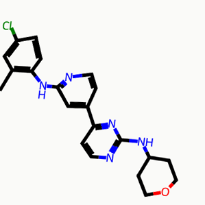 Cc1cc(Cl)ccc1Nc1cc(-c2ccnc(NC3CCOCC3)n2)ccn1